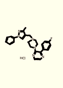 Cc1nn(-c2ccccc2)cc1CN1CCN(c2nccnc2-c2ccc(F)cc2)CC1.Cl